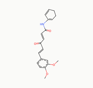 COc1ccc(/C=C/C(=O)/C=C/C(=O)NC2=CCCC=C2)cc1OC